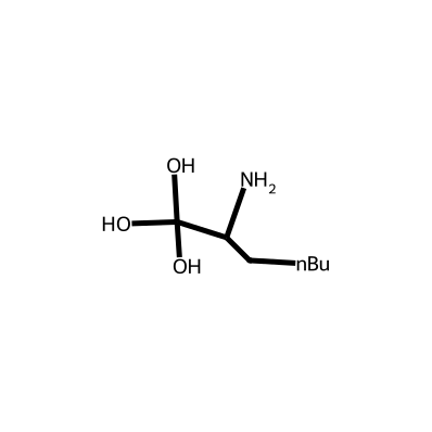 CCCCCC(N)C(O)(O)O